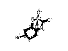 O=C1N=c2c3cc(Br)cc2=N[N+]1([O-])O3